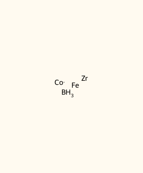 B.[Co].[Fe].[Zr]